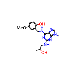 COc1ccc(O)c(CNc2nc(NCC(C)O)nc3c2ncn3C)c1